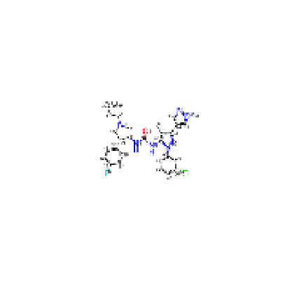 COCCN1C[C@@H](NC(=O)Nc2c(C)c(-c3cnn(C)c3)nn2-c2cccc(Cl)c2)[C@H](c2ccc(F)cc2)C1